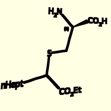 CCCCCCCC(SC[C@H](N)C(=O)O)C(=O)OCC